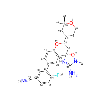 CN1OC2(CC(C3CCOC(C)(C)C3)Oc3ccc(-c4cc(C#N)ccc4F)cc32)N=C1N